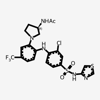 CC(=O)N[C@@H]1CCN(c2cc(C(F)(F)F)ccc2Nc2ccc(S(=O)(=O)Nc3cscn3)cc2Cl)C1